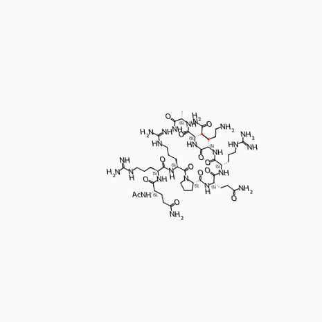 CC(=O)N[C@@H](CCC(N)=O)C(=O)N[C@@H](CCCNC(=N)N)C(=O)N[C@@H](CCCNC(=N)N)C(=O)N1CCC[C@H]1C(=O)N[C@@H](CCC(N)=O)C(=O)N[C@@H](CCCNC(=N)N)C(=O)N[C@@H](CCC(N)=O)C(=O)N[C@@H](CCCCN)C(=O)N[C@@H](C)C(N)=O